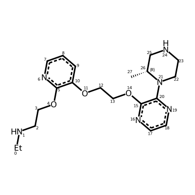 CCNCCOc1ncccc1OCCOc1nccnc1N1CCNC[C@H]1C